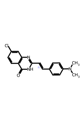 CN(C)c1ccc(/C=C/c2nc3cc(Cl)ccc3c(=O)[nH]2)cc1